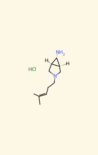 CC(C)=CCCN1C[C@@H]2[C@@H](N)[C@@H]2C1.Cl